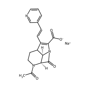 CC(=O)N1CCC2C(/C=C/c3cccnc3)=C(C(=O)[O-])N3C(=O)[C@@H]1[C@@H]23.[Na+]